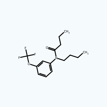 CCCCN(C(=O)CCC)c1cccc(OC(F)(F)F)c1